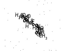 COC(=O)N[C@@H](CC1CCOCC1)C(=O)N1CCC=C[C@H]1c1ncc(-c2ccc3c(c2)C(F)(F)c2cc(-c4ccc5nc(C6CC7(CN6C(=O)[C@H](NC(=O)OC)c6ccccc6)OCCO7)[nH]c5c4)ccc2-3)[nH]1